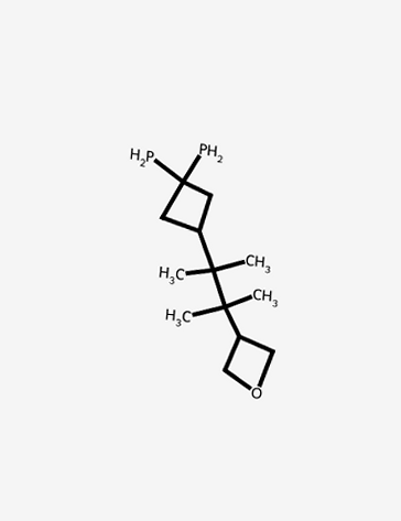 CC(C)(C1COC1)C(C)(C)C1CC(P)(P)C1